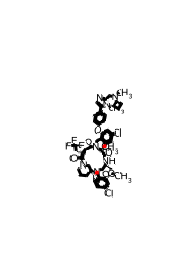 COC[C@@H]1NC(=O)[C@H](C)N(Cc2c(F)cc(Cl)cc2Oc2ccc(-c3cnc(CN(C)C4CCC4)n3C)cc2)C(=O)C[C@@H](CC(F)(F)F)C(=O)N2CCC[C@@](Cc3ccc(Cl)cc3)(C2)NC1=O